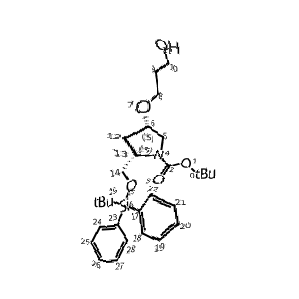 CC(C)(C)OC(=O)N1C[C@@H](OCCCO)C[C@H]1CO[Si](c1ccccc1)(c1ccccc1)C(C)(C)C